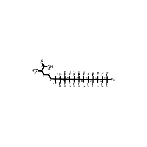 C=C(CCCC(F)(F)C(F)(F)C(F)(F)C(F)(F)C(F)(F)C(F)(F)C(F)(F)C(F)(F)C(F)(F)C(F)(F)C(F)(F)C(F)(F)F)C(=O)O